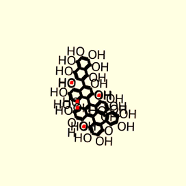 Oc1c(O)c(O)c2c(oc3c(O)c(O)c(O)c(-c4c5c(O)c(O)c(O)c(O)c5c(-c5c(O)c(O)c(-c6c(O)c(O)c7c(O)c(O)c(O)c(O)c7c6O)c6c(O)c(O)c(O)c(O)c56)c5c(O)c(O)c(O)c(O)c45)c32)c1O